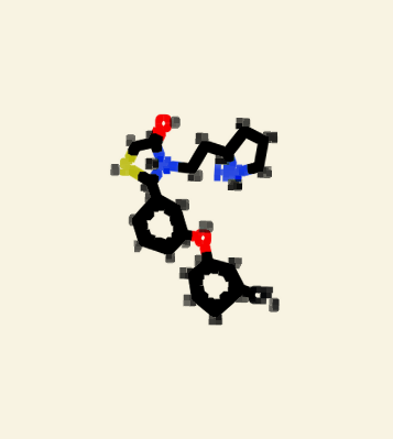 O=C1CSC(c2cccc(Oc3cccc(C(F)(F)F)c3)c2)N1CCC1CCCN1